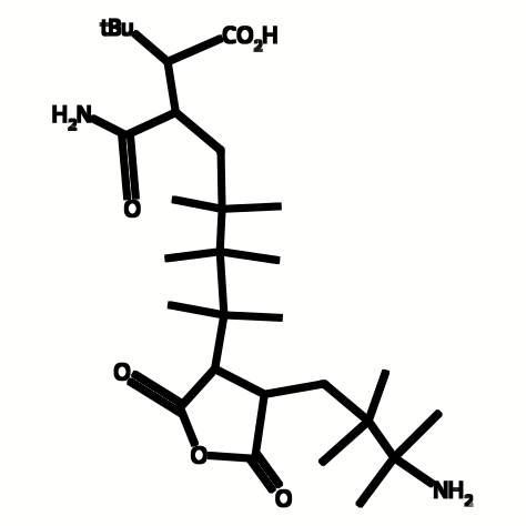 CC(C)(C)C(C(=O)O)C(CC(C)(C)C(C)(C)C(C)(C)C1C(=O)OC(=O)C1CC(C)(C)C(C)(C)N)C(N)=O